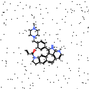 C=CC(=O)N1CCc2ccc(-c3c(-c4ccc(CN5CCN(C)CC5)cc4)[nH]c4nccc(OC)c34)cc21